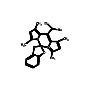 CCCCC(CC)C1=C2C(C)=CC(C)=[N+]2[B-]2(Oc3ccccc3O2)n2c(C)cc(C)c21